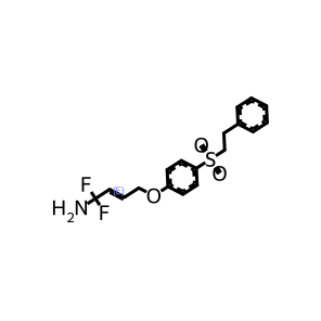 NC(F)(F)/C=C/COc1ccc(S(=O)(=O)CCc2ccccc2)cc1